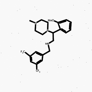 COc1ccccc1C(CNCc1cc(C(F)(F)F)cc(C(F)(F)F)c1)N1CCN(C)CC1